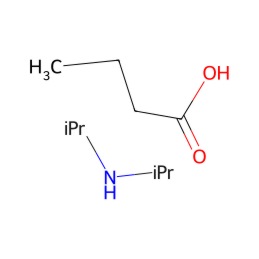 CC(C)NC(C)C.CCCC(=O)O